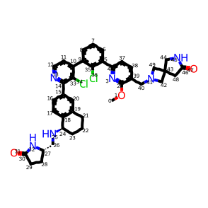 COc1nc(-c2cccc(-c3ccnc(-c4ccc5c(c4)CCC[C@H]5NC[C@@H]4CCC(=O)N4)c3Cl)c2Cl)ccc1CN1CC2(CNC(=O)C2)C1